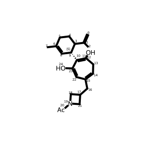 C=C(C)C1CCC(C)=C[C@H]1C1=C(O)CC=C(CC2CN(C(C)=O)C2)C=C1O